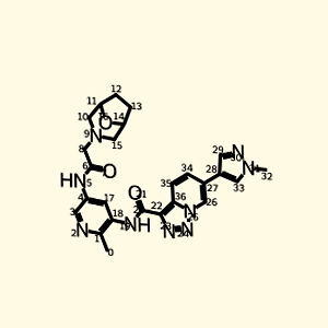 Cc1ncc(NC(=O)CN2CC3CCC(C2)O3)cc1NC(=O)c1nnn2cc(-c3cnn(C)c3)ccc12